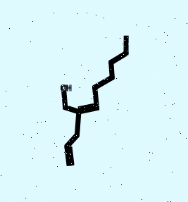 C=CCC(=CCCCCC)CO